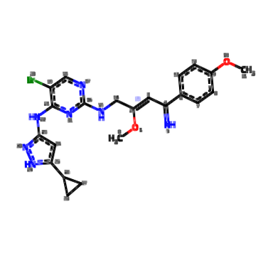 CO/C(=C\C(=N)c1ccc(OC)cc1)CNc1ncc(Br)c(Nc2cc(C3CC3)[nH]n2)n1